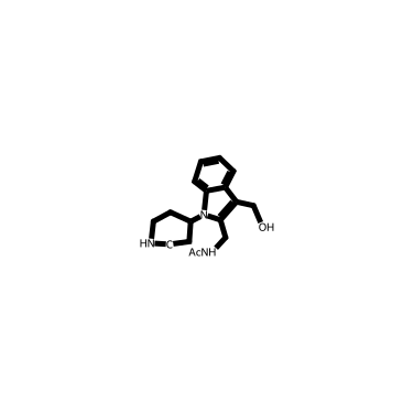 CC(=O)NCc1c(CO)c2ccccc2n1C1CCNCC1